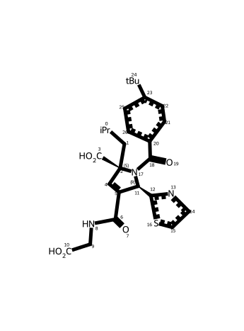 CC(C)C[C@@]1(C(=O)O)C=C(C(=O)NCC(=O)O)[C@H](c2nccs2)N1C(=O)c1ccc(C(C)(C)C)cc1